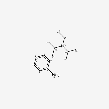 Nc1ccccc1.[CH2]CN(C(C)C)C(C)C